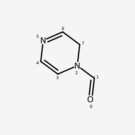 O=[C]N1C=CN=CC1